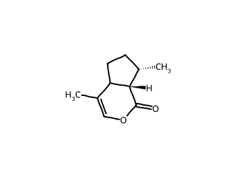 CC1=COC(=O)[C@@H]2C1CC[C@@H]2C